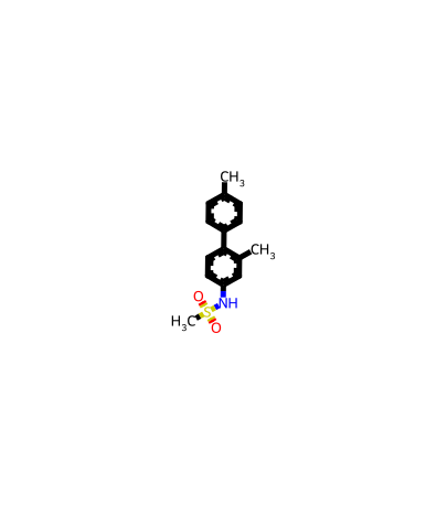 Cc1ccc(-c2ccc(NS(C)(=O)=O)cc2C)cc1